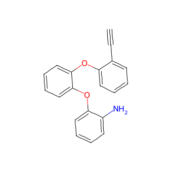 C#Cc1ccccc1Oc1ccccc1Oc1ccccc1N